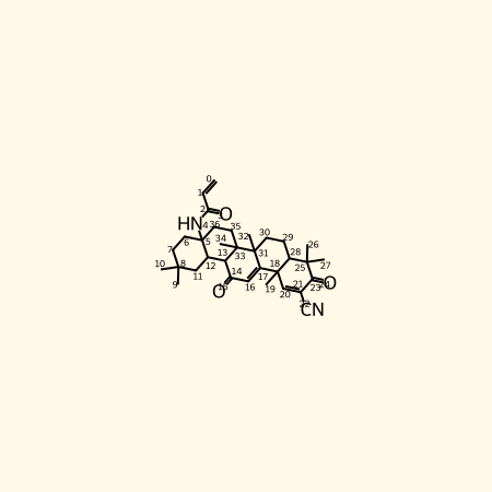 C=CC(=O)NC12CCC(C)(C)CC1C1C(=O)C=C3C4(C)C=C(C#N)C(=O)C(C)(C)C4CCC3(C)C1(C)CC2